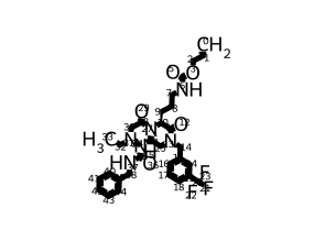 C=CCOC(=O)NCCC[C@H]1C(=O)N(Cc2cccc(C(F)(F)F)c2)C[C@H]2N1C(=O)CN(CC)N2C(=O)NCc1ccccc1